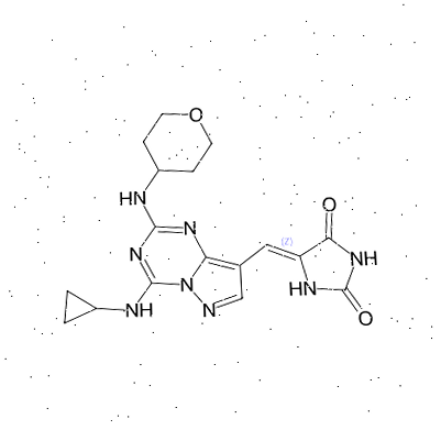 O=C1NC(=O)/C(=C/c2cnn3c(NC4CC4)nc(NC4CCOCC4)nc23)N1